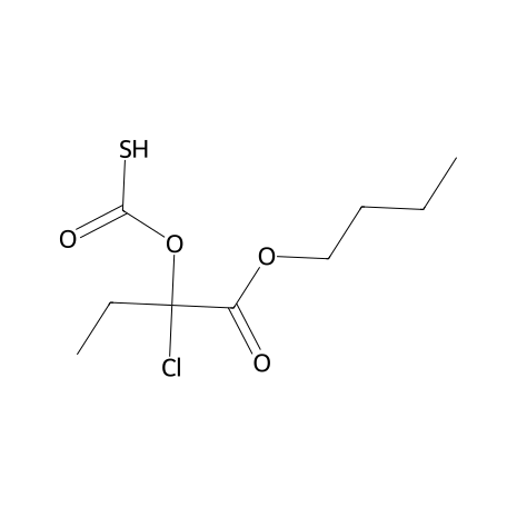 CCCCOC(=O)C(Cl)(CC)OC(=O)S